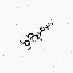 C=N/C(N)=C(\N=C(/C)c1cnn(C(C)(C)CO)c1)c1ccc(=O)n(-c2cc(OC)cc(OC)c2)n1